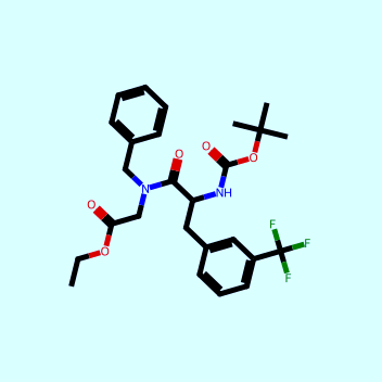 CCOC(=O)CN(Cc1ccccc1)C(=O)C(Cc1cccc(C(F)(F)F)c1)NC(=O)OC(C)(C)C